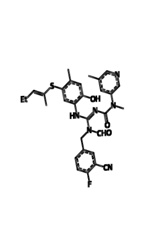 CC/C=C(\C)Sc1cc(N/C(=N/C(=O)N(C)c2cncc(C)c2)N(C=O)Cc2ccc(F)c(C#N)c2)c(O)cc1C